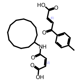 Cc1ccc(C(=O)/C=C/C(=O)O)cc1.O=C(O)/C=C\C(=O)NC1CCCCCCCCCCC1